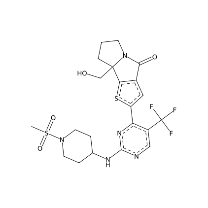 CS(=O)(=O)N1CCC(Nc2ncc(C(F)(F)F)c(-c3cc4c(s3)C3(CO)CCCN3C4=O)n2)CC1